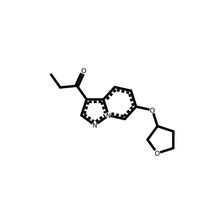 CCC(=O)c1cnn2cc(OC3CCOC3)ccc12